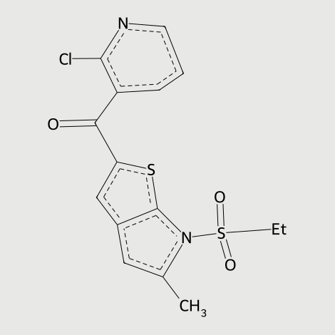 CCS(=O)(=O)n1c(C)cc2cc(C(=O)c3cccnc3Cl)sc21